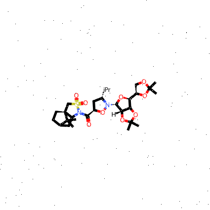 CC(C)[C@H]1C[C@H](C(=O)N2C3CC4CC[C@]3(CS2(=O)=O)C4(C)C)ON1[C@@H]1O[C@@H]([C@H]2COC(C)(C)O2)C2OC(C)(C)O[C@@H]21